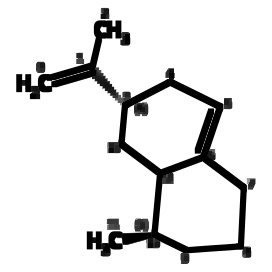 C=C(C)[C@@H]1CC=C2CCC[C@@H](C)C2C1